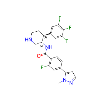 Cn1nccc1-c1ccc(C(=O)N[C@@H]2CNCC[C@H]2c2cc(F)c(F)c(F)c2)c(F)c1